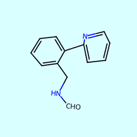 O=CNCc1ccccc1-c1ccccn1